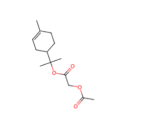 CC(=O)OCC(=O)OC(C)(C)C1CC=C(C)CC1